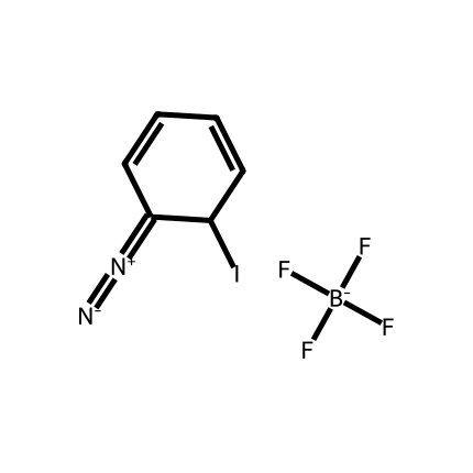 F[B-](F)(F)F.[N-]=[N+]=C1C=CC=CC1I